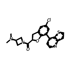 CN(C)C1CN(C(=O)C2Cc3cc(Cl)cc(-c4ccnc5ccsc45)c3O2)C1